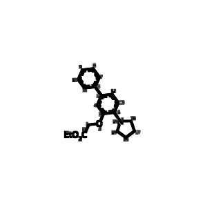 CCOC(=O)COc1cc(-c2ccccc2)ccc1N1CCCC1